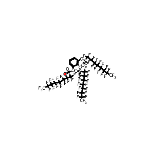 O=S(=O)(Oc1cccc(OS(=O)(=O)C(F)(F)C(F)(F)C(F)(F)C(F)(F)C(F)(F)C(F)(F)C(F)(F)C(F)(F)F)c1OS(=O)(=O)C(F)(F)C(F)(F)C(F)(F)C(F)(F)C(F)(F)C(F)(F)C(F)(F)C(F)(F)F)C(F)(F)C(F)(F)C(F)(F)C(F)(F)C(F)(F)C(F)(F)C(F)(F)C(F)(F)F